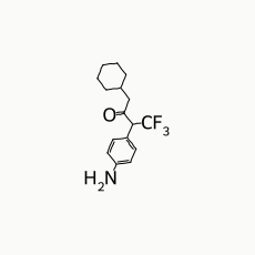 Nc1ccc(C(C(=O)CC2CCCCC2)C(F)(F)F)cc1